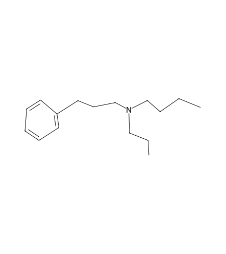 CCCCN(CCC)CCCc1ccccc1